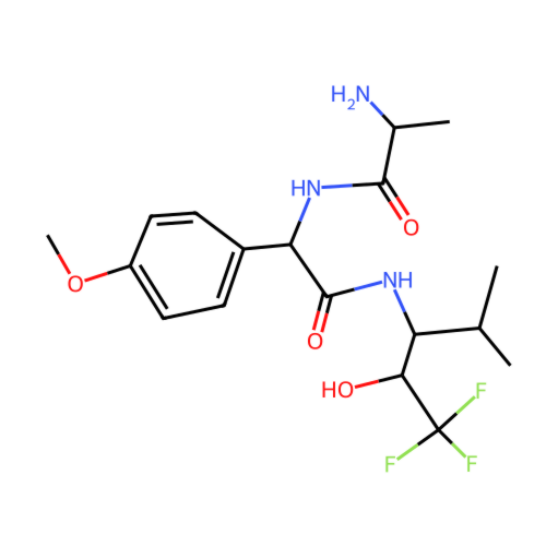 COc1ccc(C(NC(=O)C(C)N)C(=O)NC(C(C)C)C(O)C(F)(F)F)cc1